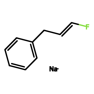 FC=CCc1ccccc1.[Na]